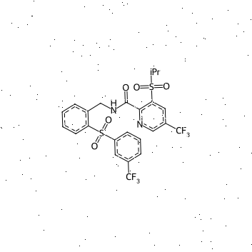 CC(C)S(=O)(=O)c1cc(C(F)(F)F)cnc1C(=O)NCc1ccccc1S(=O)(=O)c1cccc(C(F)(F)F)c1